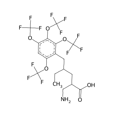 CCC(Cc1c(OC(F)(F)F)cc(OC(F)(F)F)c(OC(F)(F)F)c1OC(F)(F)F)CC(CN)C(=O)O